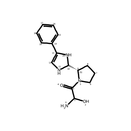 NC(O)C(=O)N1CCC[C@H]1C1NC=C(c2ccccc2)N1